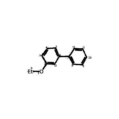 C[CH]Oc1cccc(-c2ccccc2)c1